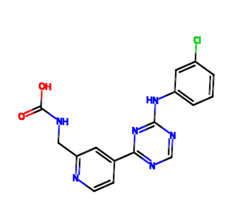 O=C(O)NCc1cc(-c2ncnc(Nc3cccc(Cl)c3)n2)ccn1